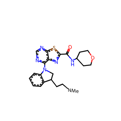 CNCCC1CN(c2ncnc3sc(C(=O)NC4CCOCC4)nc23)c2ccccc21